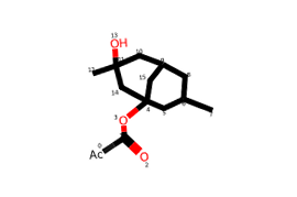 CC(=O)C(=O)OC12CC(C)CC(CC(C)(O)C1)C2